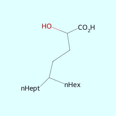 CCCCCCCC(CCCCCC)CCC(O)C(=O)O